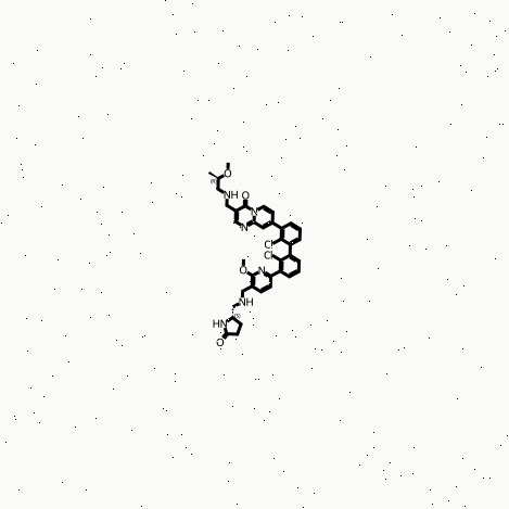 COc1nc(-c2cccc(-c3cccc(-c4ccn5c(=O)c(CNC[C@@H](C)OC)cnc5c4)c3Cl)c2Cl)ccc1CNC[C@@H]1CCC(=O)N1